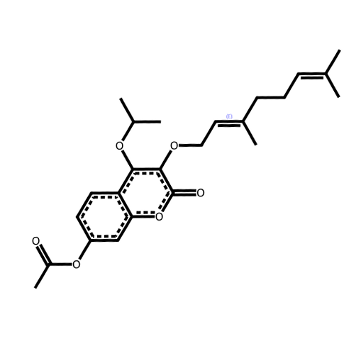 CC(=O)Oc1ccc2c(OC(C)C)c(OC/C=C(\C)CCC=C(C)C)c(=O)oc2c1